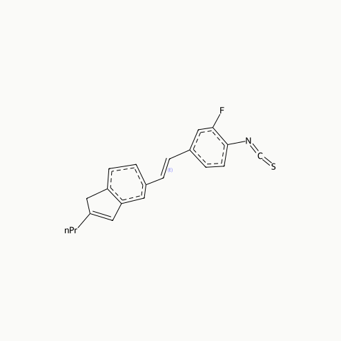 CCCC1=Cc2cc(/C=C/c3ccc(N=C=S)c(F)c3)ccc2C1